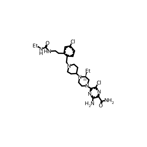 CCNC(=O)NCCc1cc(Cl)ccc1CN1CCC(N2CCN(c3nc(N)c(C(N)=O)nc3Cl)C[C@@H]2CC)CC1